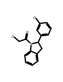 O=C(CCl)N1c2ccccc2CC1c1cccc(Cl)c1